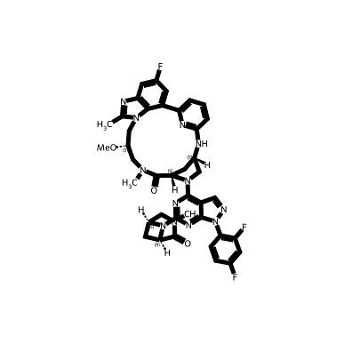 CO[C@H]1CN(C)C(=O)[C@@H]2C[C@@H](CN2c2nc(N3[C@H]4C[C@@H]3C(=O)N(C)C4)nc3c2cnn3-c2ccc(F)cc2F)Nc2cccc(n2)-c2cc(F)cc3nc(C)n(c23)C1